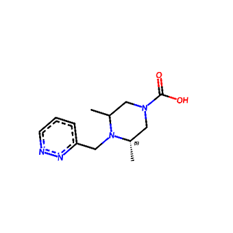 CC1CN(C(=O)O)C[C@H](C)N1Cc1cccnn1